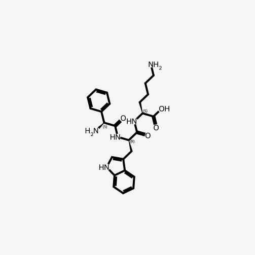 NCCCC[C@H](NC(=O)[C@@H](Cc1c[nH]c2ccccc12)NC(=O)[C@@H](N)c1ccccc1)C(=O)O